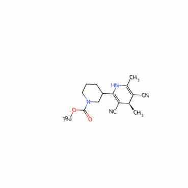 CC1=C(C#N)[C@@H](C)C(C#N)=C(C2CCCN(C(=O)OC(C)(C)C)C2)N1